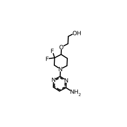 Nc1ccnc(N2CCC(OCCO)C(F)(F)C2)n1